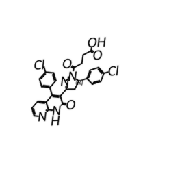 O=C(O)CCC(=O)N1N=C(c2c(-c3ccc(Cl)cc3)c3cccnc3[nH]c2=O)C[C@@H]1c1ccc(Cl)cc1